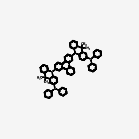 CC1(C)c2ccccc2C(c2ccc3c4ccc(N5c6ccccc6C(C)(C)c6cc(N(c7ccccc7)c7ccccc7)ccc65)cc4c4ccccc4c3c2)c2ccc(N(c3ccccc3)c3ccccc3)cc21